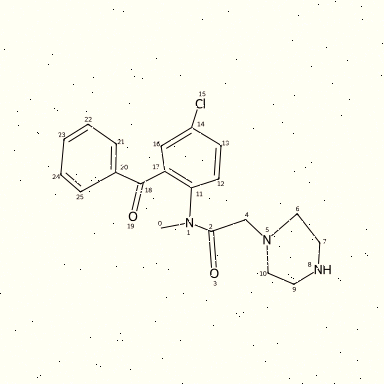 CN(C(=O)CN1CCNCC1)c1ccc(Cl)cc1C(=O)c1ccccc1